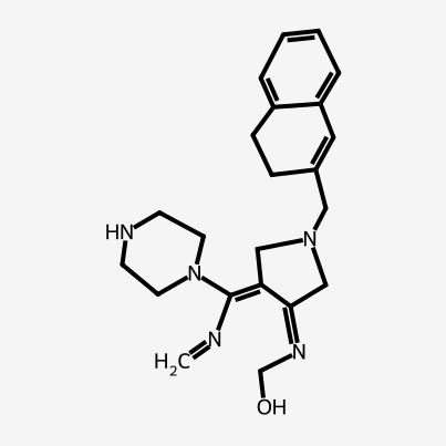 C=N/C(=C1/CN(CC2=Cc3ccccc3CC2)C/C1=N/CO)N1CCNCC1